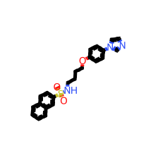 O=S(=O)(NCCCCOc1ccc(-n2ccnc2)cc1)c1ccc2ccccc2c1